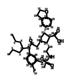 CCCC(CCC)N(C(=O)CN1C[C@H](c2ccc3c(c2)CCO3)[C@@H](C(=O)O)[C@@H]1CCNS(C)(=O)=O)c1ccc(F)c(C)c1